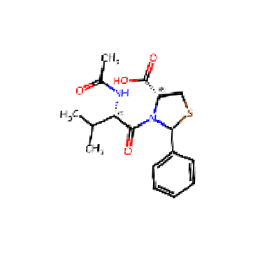 CC(=O)N[C@H](C(=O)N1C(c2ccccc2)SC[C@H]1C(=O)O)C(C)C